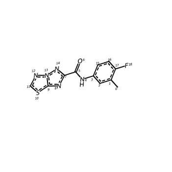 Cc1cc(NC(=O)c2nc3scnn3n2)ccc1F